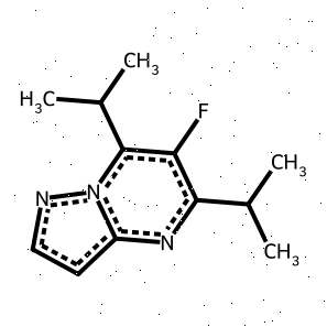 CC(C)c1nc2ccnn2c(C(C)C)c1F